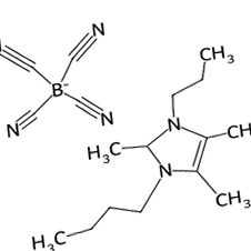 CCCCN1C(C)=C(C)N(CCC)C1C.N#C[B-](C#N)(C#N)C#N